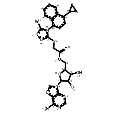 Nc1ncnc2c1ncn2C1OC(COC(=O)CSc2nnc(Br)n2-c2ccc(C3CC3)c3ccccc23)C(O)C1O